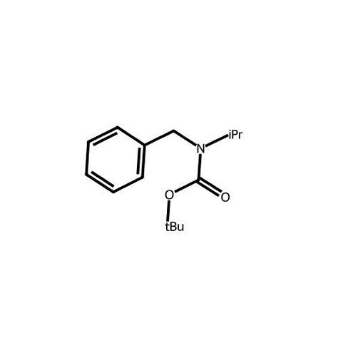 CC(C)N(Cc1ccccc1)C(=O)OC(C)(C)C